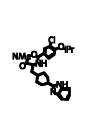 CNC(=O)C(CC1CCC(c2nc3ccccc3[nH]2)CC1)NC(=O)c1ccc(OC(C)C)c(Cl)c1